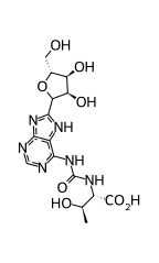 C[C@@H](O)[C@H](NC(=O)Nc1ncnc2nc(C3O[C@H](CO)[C@@H](O)[C@H]3O)[nH]c12)C(=O)O